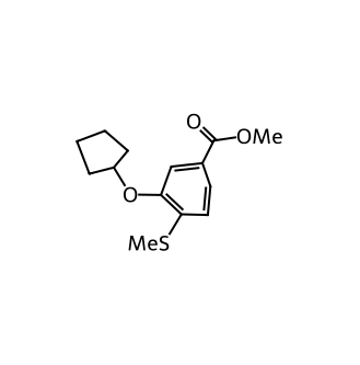 COC(=O)c1ccc(SC)c(OC2CCCC2)c1